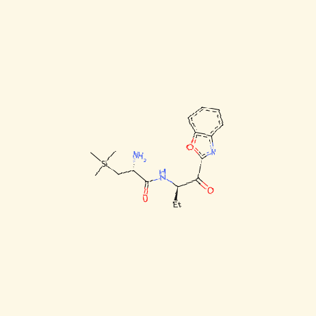 CC[C@@H](NC(=O)[C@@H](N)C[Si](C)(C)C)C(=O)c1nc2ccccc2o1